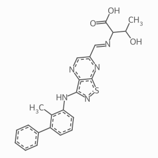 Cc1c(Nc2nsc3nc(C=NC(C(=O)O)C(C)O)cnc23)cccc1-c1ccccc1